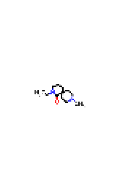 CCN1CCCC2(CCN(C)CC2)C1=O